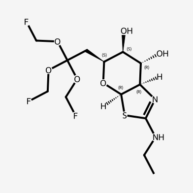 CCNC1=N[C@@H]2[C@@H](O)[C@H](O)[C@H](CC(OCF)(OCF)OCF)O[C@@H]2S1